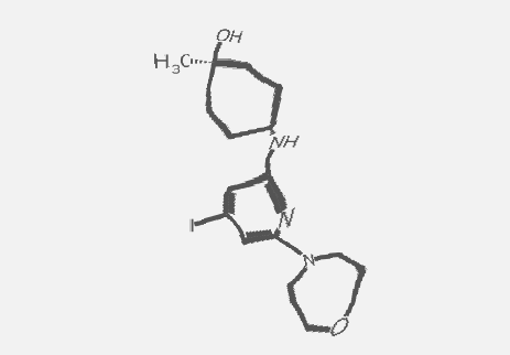 C[C@]1(O)CC[C@H](Nc2cc(I)cc(N3CCOCC3)n2)CC1